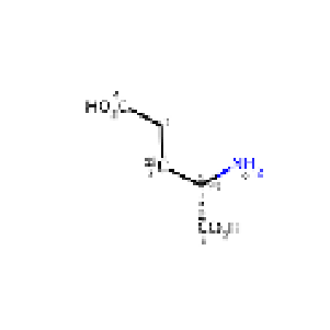 N[C@@H]([13CH2]CC(=O)O)C(=O)O